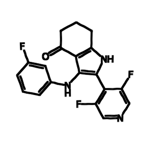 O=C1CCCc2[nH]c(-c3c(F)cncc3F)c(Nc3cccc(F)c3)c21